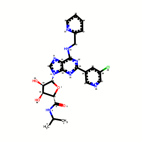 CC(C)NC(=O)[C@H]1O[C@@H](n2cnc3c(NCc4ccccn4)nc(-c4cncc(Cl)c4)nc32)[C@H](O)[C@@H]1O